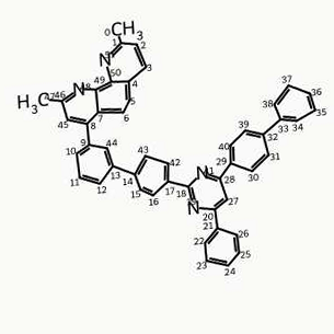 Cc1ccc2ccc3c(-c4cccc(-c5ccc(-c6nc(-c7ccccc7)cc(-c7ccc(-c8ccccc8)cc7)n6)cc5)c4)cc(C)nc3c2n1